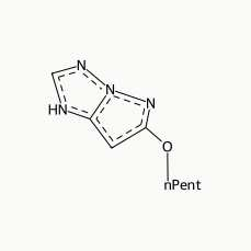 CCCCCOc1cc2[nH]cnn2n1